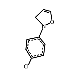 Clc1ccc(N2CC=CO2)cc1